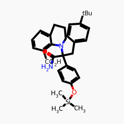 CC(C)(C)c1ccc(CC(C(N)=O)(c2ccc(O[Si](C)(C)C)cc2)N2CCCc3cccc(C(=O)O)c32)cc1